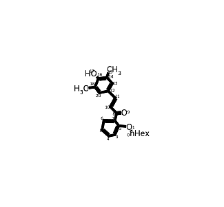 CCCCCCOc1ccccc1C(=O)C=Cc1cc(C)c(O)c(C)c1